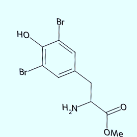 COC(=O)C(N)Cc1cc(Br)c(O)c(Br)c1